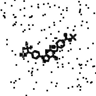 CC(C)(C)OC(=O)N1CCC(O)(Cn2cnc3c(cnn3-c3ccc(C(N)C(F)(F)F)cc3)c2=O)CC1